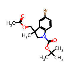 CC(=O)OCC1(C)CN(C(=O)OC(C)(C)C)c2ccc(Br)cc21